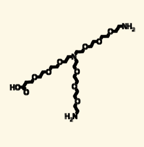 NCCOCCOCCOCCN(CCOCCOCCOCCN)CCOCCOCCOCCC(=O)O